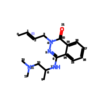 C/C=C/Cn1nc(NC(C)CN(C)C)c2ccccc2c1=O